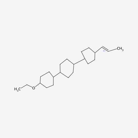 C/C=C/C1CCC(C2CCC(C3CCC(OCC)CC3)CC2)CC1